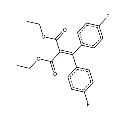 CCOC(=O)C(C(=O)OCC)=C(c1ccc(F)cc1)c1ccc(F)cc1